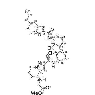 COC(=O)CNC1CCCn2nc(C(=O)Nc3cccc(-c4cccc(NC(=O)c5nc6c(s5)CN(CCF)CC6)c4Cl)c3Cl)cc21